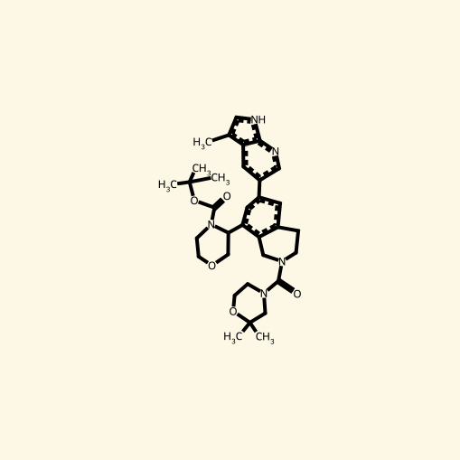 Cc1c[nH]c2ncc(-c3cc4c(c(C5COCCN5C(=O)OC(C)(C)C)c3)CN(C(=O)N3CCOC(C)(C)C3)CC4)cc12